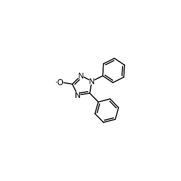 [O]c1nc(-c2ccccc2)n(-c2ccccc2)n1